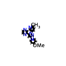 COC1CCN(c2cc(-c3cnccn3)n(-c3ccc(C)nc3)n2)CC1